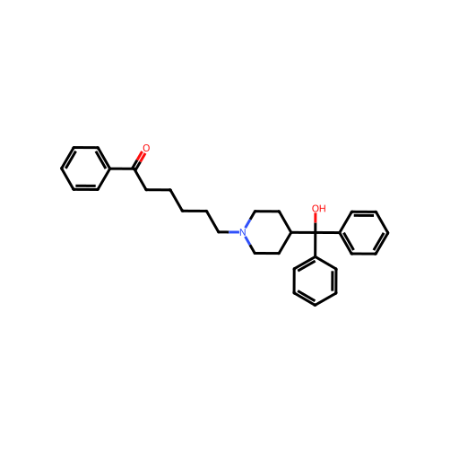 O=C(CCCCCN1CCC(C(O)(c2ccccc2)c2ccccc2)CC1)c1ccccc1